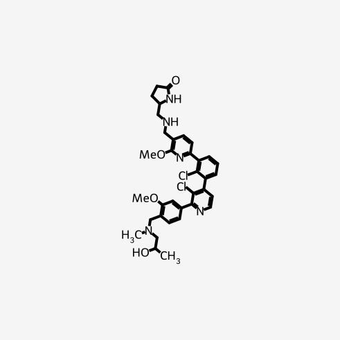 COc1cc(-c2nccc(-c3cccc(-c4ccc(CNCC5CCC(=O)N5)c(OC)n4)c3Cl)c2Cl)ccc1CN(C)CC(C)O